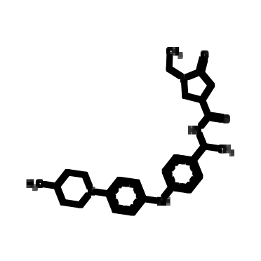 CCN1CC(C(=O)NC(C)c2ccc(Nc3ccc(N4CCC(C)CC4)cc3)cc2)CC1=O